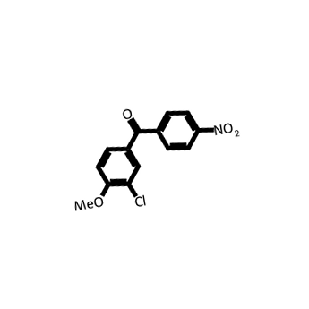 COc1ccc(C(=O)c2ccc([N+](=O)[O-])cc2)cc1Cl